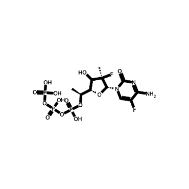 C[C@H](OP(=O)(O)OP(=O)(O)OP(=O)(O)O)[C@H]1O[C@@H](n2cc(F)c(N)nc2=O)[C@](C)(F)C1O